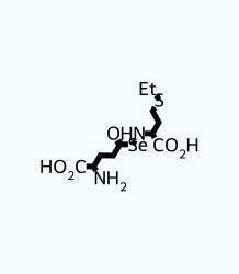 CCSCCC(N[Se]C(=O)CCC(N)C(=O)O)C(=O)O